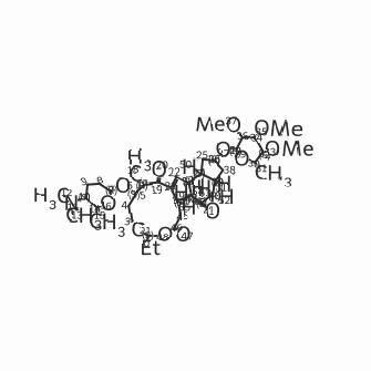 CC[C@H]1CCC[C@H](O[C@H]2CC[C@H](N(C)C)C(C)O2)[C@@H](C)C(=O)C2=C[C@H]3[C@@H]4C[C@H](O[C@@H]5OC(C)[C@H](OC)C(OC)C5OC)C[C@H]4[C@H]4O[C@H]4[C@H]3[C@@H]2CC(=O)O1